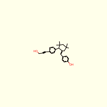 CC1(C)CC(=Cc2ccc(O)cc2)C(c2ccc(C#CCO)cc2)C(C)(C)C1